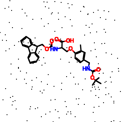 Cc1cc(CNC(=O)OC(C)(C)C)ccc1OCC(NC(=O)OCC1c2ccccc2-c2ccccc21)C(=O)O